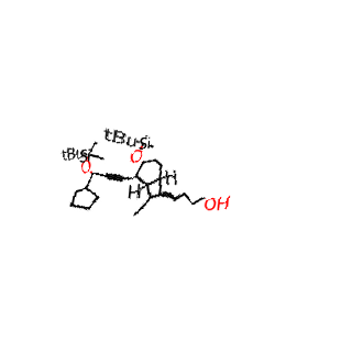 CC1/C(=C/CCCO)[C@H]2CC[C@@H](O[Si](C)(C)C(C)(C)C)[C@H](C#CC(O[Si](C)(C)C(C)(C)C)C3CCCC3)[C@@H]12